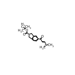 CN(C)C=CC(=O)c1ccc2c(c1)CN(C(=O)OC(C)(C)C)C2